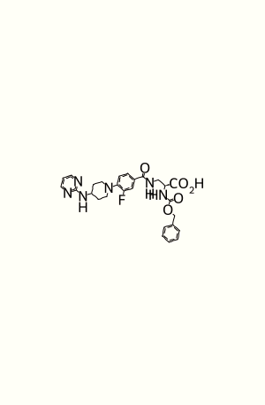 O=C(N[C@@H](CNC(=O)c1ccc(N2CCC(Nc3ncccn3)CC2)c(F)c1)C(=O)O)OCc1ccccc1